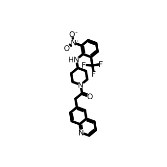 O=C(Cc1ccc2ncccc2c1)N1CCC(Nc2c([N+](=O)[O-])cccc2C(F)(F)F)CC1